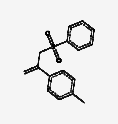 C=C(CS(=O)(=O)c1ccccc1)c1ccc(C)cc1